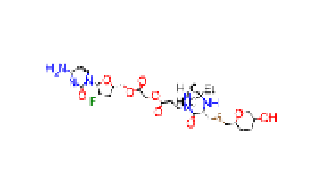 CCC(C)(C)N[C@H](CSCC1CCC(O)CO1)C(=O)NCCC(=O)OCC(=O)OC[C@@H]1C[C@H](F)[C@H](n2ccc(N)nc2=O)O1